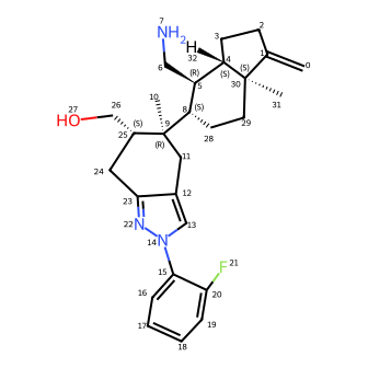 C=C1CC[C@H]2[C@H](CN)[C@@H]([C@@]3(C)Cc4cn(-c5ccccc5F)nc4C[C@@H]3CO)CC[C@]12C